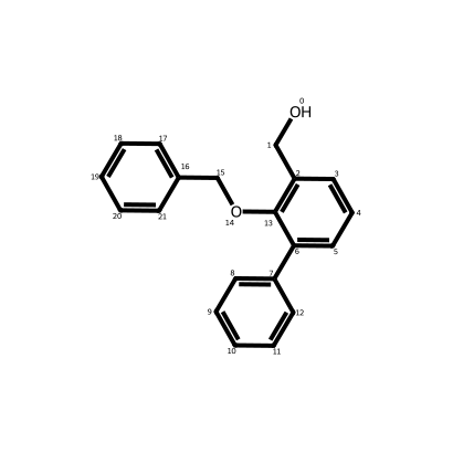 OCc1cccc(-c2ccccc2)c1OCc1ccccc1